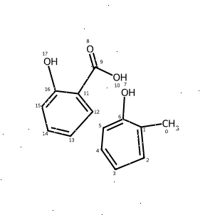 Cc1ccccc1O.O=C(O)c1ccccc1O